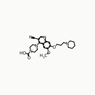 COc1cc2c(N3CCN(C(=O)O)CC3)c(C#N)cnc2cc1OCCCN1CCCCC1